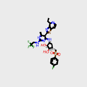 CCc1nccc2sc(-c3c(C)nc(NCC(F)(F)F)nc3N[C@@H]3C[C@H](CS(=O)(=O)c4ccc(F)cc4)[C@@H](O)[C@H]3O)nc12